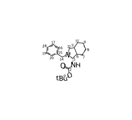 CC(C)(C)OC(=O)N[C@H]1C2CCCCC2CN1Cc1ccccc1